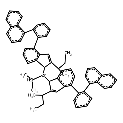 CCC(C)C1=Cc2c(-c3ccccc3-c3cccc4ccccc34)cccc2[CH]1[Zr]([CH]1C(C(C)CC)=Cc2c(-c3ccccc3-c3cccc4ccccc34)cccc21)[SiH](C)C